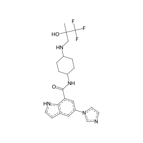 CC(O)(CNC1CCC(NC(=O)c2cc(-n3ccnc3)cc3cc[nH]c23)CC1)C(F)(F)F